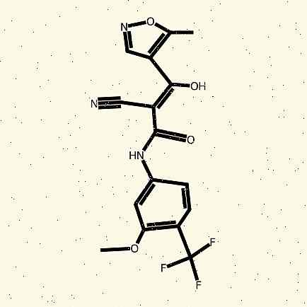 COc1cc(NC(=O)/C(C#N)=C(\O)c2cnoc2C)ccc1C(F)(F)F